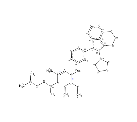 C=C/C(CC)=C(\C=C(\N)CN(C)CCN(C)C)Nc1nccc(-c2c(N3CCCC3)n3c4c(cccc24)CCC3)n1